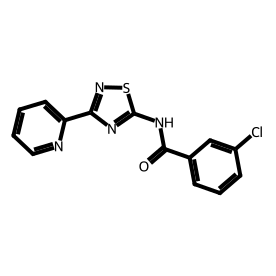 O=C(Nc1nc(-c2ccccn2)ns1)c1cccc(Cl)c1